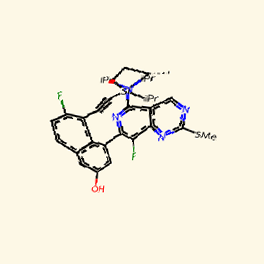 CSc1ncc2c(N3CC[C@@H]3C)nc(-c3cc(O)cc4ccc(F)c(C#C[Si](C(C)C)(C(C)C)C(C)C)c34)c(F)c2n1